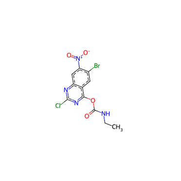 CCNC(=O)Oc1nc(Cl)nc2cc([N+](=O)[O-])c(Br)cc12